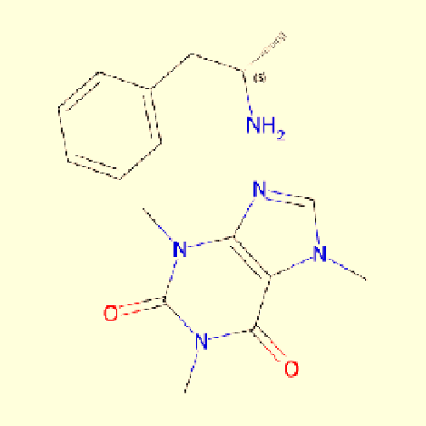 C[C@H](N)Cc1ccccc1.Cn1c(=O)c2c(ncn2C)n(C)c1=O